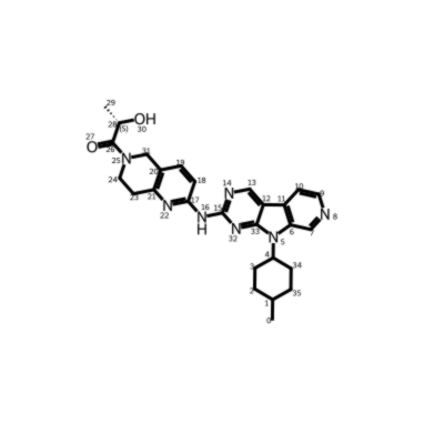 CC1CCC(n2c3cnccc3c3cnc(Nc4ccc5c(n4)CCN(C(=O)[C@H](C)O)C5)nc32)CC1